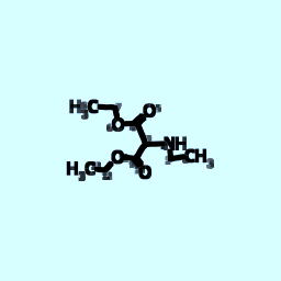 CCNC(C(=O)OCC)C(=O)OCC